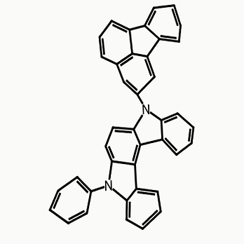 c1ccc(-n2c3ccccc3c3c4c5ccccc5n(-c5cc6c7c(cccc7c5)-c5ccccc5-6)c4ccc32)cc1